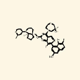 CCc1c(F)ccc2cc(O)cc(-c3ncc4c(N5CCOC[C@@](C)(O)C5)nc(OC[C@]56CCC[C@H]5N(C5CCO[C@H](C)C5)CCC6)nc4c3F)c12